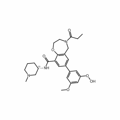 CCC(=O)N1CCOc2c(cc(-c3cc(OC)cc(OO)c3)cc2C(=O)N[C@H]2CCCN(C)C2)C1